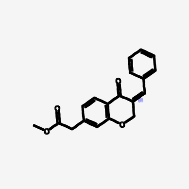 COC(=O)Cc1ccc2c(c1)OC/C(=C/c1ccccc1)C2=O